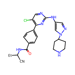 CCC(C#N)NC(=O)c1ccc(-c2nc(Nc3cnn(C4CCNCC4)c3)ncc2Cl)cc1